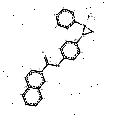 N[C@]1(c2ccccc2)C[C@H]1c1ccc(NC(=O)c2ccc3ccccc3c2)cc1